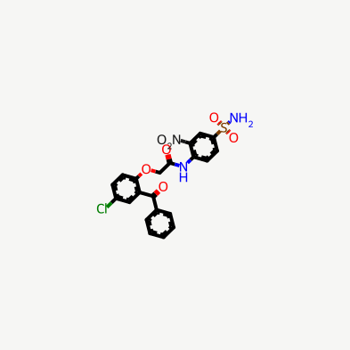 NS(=O)(=O)c1ccc(NC(=O)COc2ccc(Cl)cc2C(=O)c2ccccc2)c([N+](=O)[O-])c1